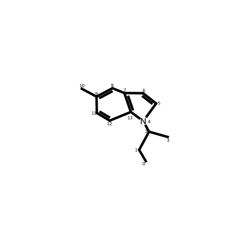 CCC(C)n1ccc2cc(C)ccc21